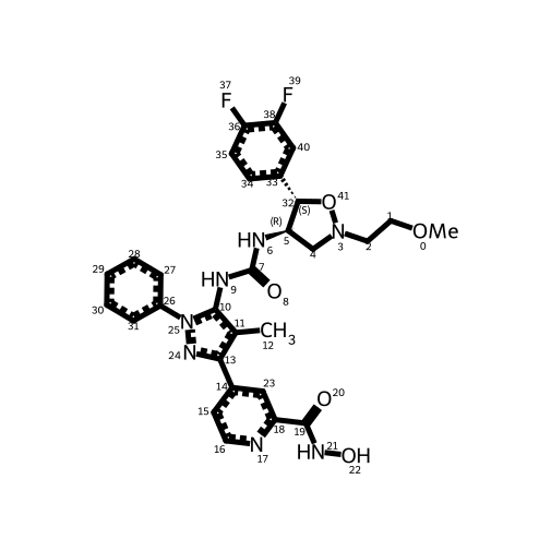 COCCN1C[C@@H](NC(=O)Nc2c(C)c(-c3ccnc(C(=O)NO)c3)nn2-c2ccccc2)[C@H](c2ccc(F)c(F)c2)O1